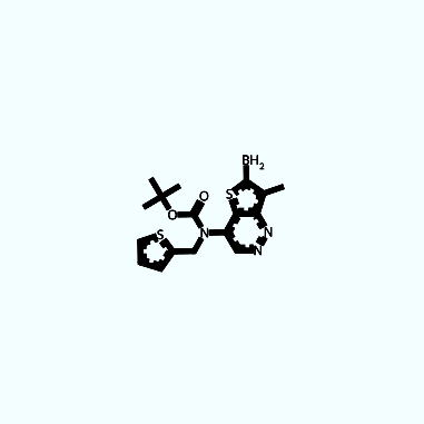 Bc1sc2c(N(Cc3cccs3)C(=O)OC(C)(C)C)cnnc2c1C